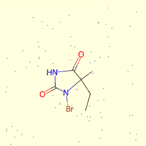 CCC1(C)C(=O)NC(=O)N1Br